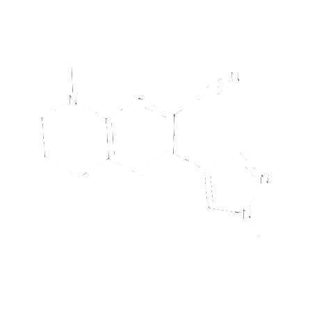 C[C@@H]1CCN(C)c2cc(C#N)c(-c3cnn(C)c3)cc21